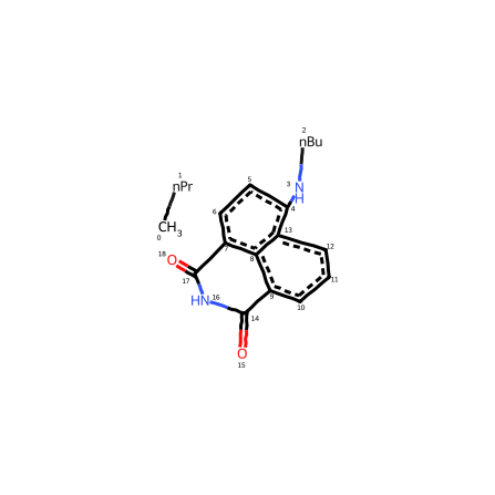 CCCC.CCCCNc1ccc2c3c(cccc13)C(=O)NC2=O